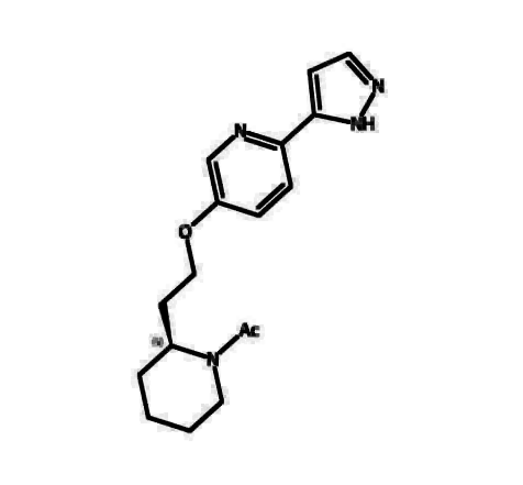 CC(=O)N1CCCC[C@H]1CCOc1ccc(-c2ccn[nH]2)nc1